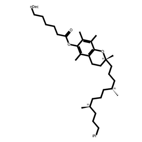 CCCCCCCCCCCCCCCC(=O)Oc1c(C)c(C)c2c(c1C)CC[C@@](C)(CCC[C@H](C)CCC[C@H](C)CCCC(C)C)O2